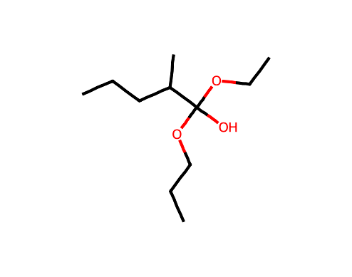 CCCOC(O)(OCC)C(C)CCC